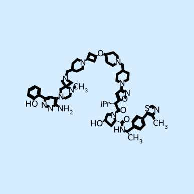 Cc1ncsc1-c1ccc([C@H](C)NC(=O)[C@@H]2C[C@@H](O)CN2C(=O)[C@@H](c2cc(N3CCC(CN4CCC(O[C@H]5C[C@H](N6CCC(CN7CC8(C7)CN(c7cc(-c9ccccc9O)nnc7N)CCN8C)CC6)C5)CC4)CC3)no2)C(C)C)cc1